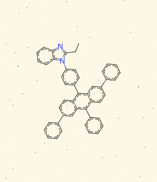 CCc1nc2ccccc2n1-c1ccc(-c2c3ccc(-c4ccccc4)cc3c(-c3ccccc3)c3ccc(-c4ccccc4)cc23)cc1